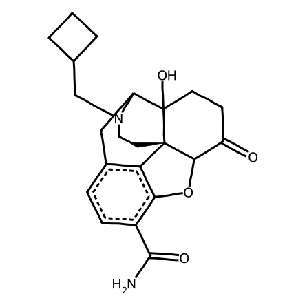 NC(=O)c1ccc2c3c1OC1C(=O)CCC4(O)C(C2)N(CC2CCC2)CC[C@]314